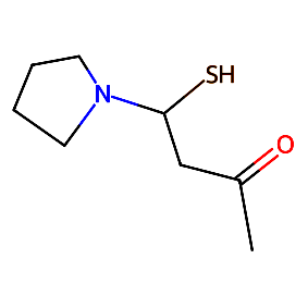 CC(=O)CC(S)N1CCCC1